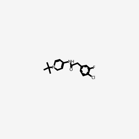 CC(C)(C)N1C=CC(NC(=O)Cc2ccc(Cl)c(F)c2)=CC1